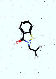 CCC(CC)Cn1sc2ccccc2c1=O